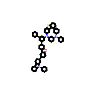 c1ccc(-c2cc(-c3ccc4c(c3)oc3ccc(-c5ccc6c7ccccc7n(-c7ccccc7)c6c5)cc34)cc(N(c3cccc(N(c4ccccc4)c4ccccc4)c3)c3ccc4sc5ccccc5c4c3)c2)cc1